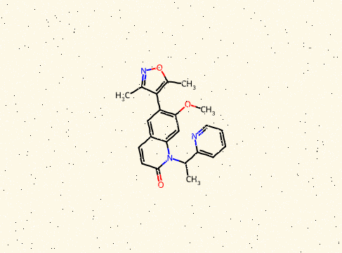 COc1cc2c(ccc(=O)n2C(C)c2ccccn2)cc1-c1c(C)noc1C